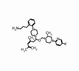 C=C(C)/C=C(/C)CC(OCN1CCN(c2ccc(F)cn2)C[C@@H]1C)N1CCN(c2ccccc2CCCN)CC1